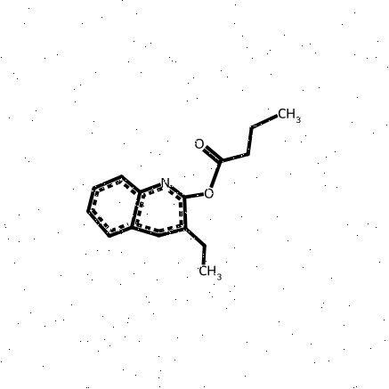 CCCC(=O)Oc1nc2ccccc2cc1CC